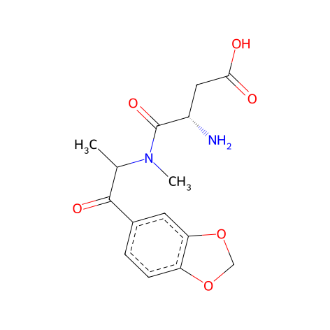 CC(C(=O)c1ccc2c(c1)OCO2)N(C)C(=O)[C@@H](N)CC(=O)O